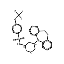 O=S(=O)(N[C@@H]1COC[C@H](N2c3ccccc3CCc3ccccc32)C1)c1ccc(OC(F)(F)F)cc1